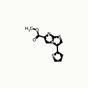 COC(=O)c1cn2c(-c3cccs3)csc2n1